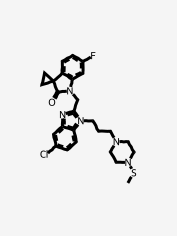 CSN1CCN(CCCn2c(CN3C(=O)C4(CC4)c4ccc(F)cc43)nc3cc(Cl)ccc32)CC1